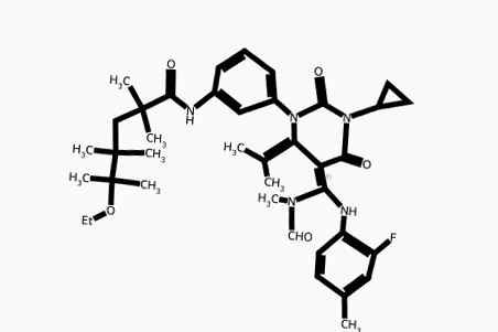 CCOC(C)(C)C(C)(C)CC(C)(C)C(=O)Nc1cccc(-n2c(=C(C)C)/c(=C(/Nc3ccc(C)cc3F)N(C)C=O)c(=O)n(C3CC3)c2=O)c1